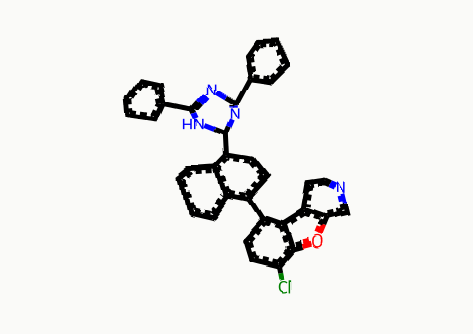 Clc1ccc(-c2ccc(C3N=C(c4ccccc4)N=C(c4ccccc4)N3)c3ccccc23)c2c1oc1cnccc12